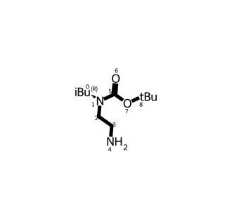 CC[C@@H](C)N(CCN)C(=O)OC(C)(C)C